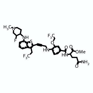 COC(=O)C(CCC(N)=O)NC(=O)c1ccc(NCC#Cc2sc3c(NC4CCN(C)CC4F)cccc3c2CC(F)(F)F)c(OCC(F)(F)F)c1